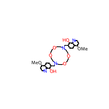 COc1ccnc2c(O)c(CN3CCOCCOCCN(Cc4ccc5c(OC)ccnc5c4O)CCOCCOCC3)ccc12